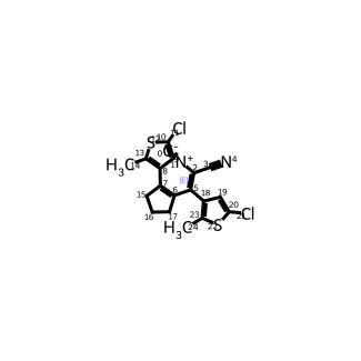 [C-]#[N+]/C(C#N)=C(\C1=C(c2cc(Cl)sc2C)CCC1)c1cc(Cl)sc1C